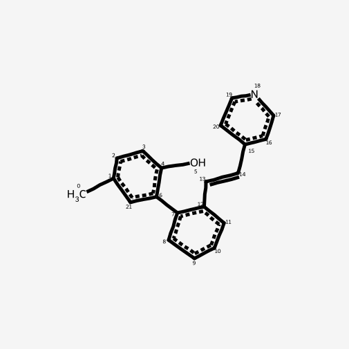 Cc1ccc(O)c(-c2ccccc2C=Cc2ccncc2)c1